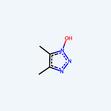 Cc1nnn(O)c1C